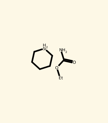 C1CC[SiH2]CC1.CCOC(N)=O